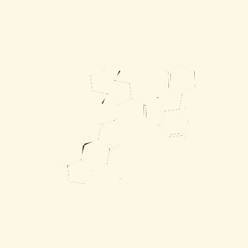 O=C1NCC[C@@H]1C[C@@H](NC(=O)[C@@H]1[C@@H]2CCC[C@@H]2CN1C(=O)C1(F)c2ccccc2-c2ccccc21)C(=O)CO